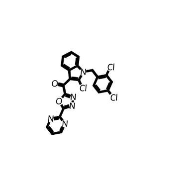 O=C(c1nnc(-c2ncccn2)o1)c1c(Cl)n(Cc2ccc(Cl)cc2Cl)c2ccccc12